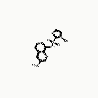 CCn1ccnc1S(=O)(=O)Nc1cccc2cc(OC)cnc12